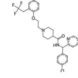 O=C(NC(c1ccc(Cl)cc1)c1ccccn1)C1CCN(CCOc2ccccc2CC(F)(F)F)CC1